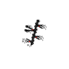 CCCCCCC1(CCCCCC)c2cc(C)ccc2-c2ccc(-c3ccc4c(c3)C(CCCCCC)(CCCCCC)c3cc(-c5ccc6c(c5)C(CCCCCCOCC5(C)COC5)(CCCCCCOCC5(C)COC5)c5cc(-c7ccc8c(c7)C(CCCCCC)(CCCCCC)c7cc(-c9ccccc9)ccc7-8)ccc5-6)ccc3-4)cc21